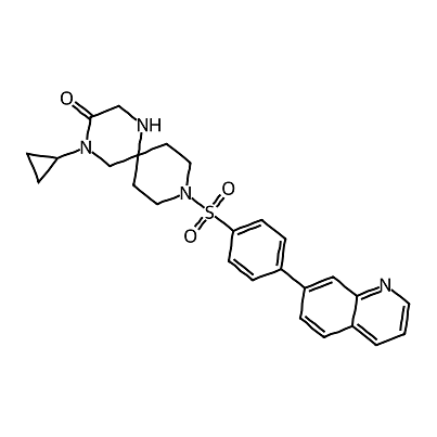 O=C1CNC2(CCN(S(=O)(=O)c3ccc(-c4ccc5cccnc5c4)cc3)CC2)CN1C1CC1